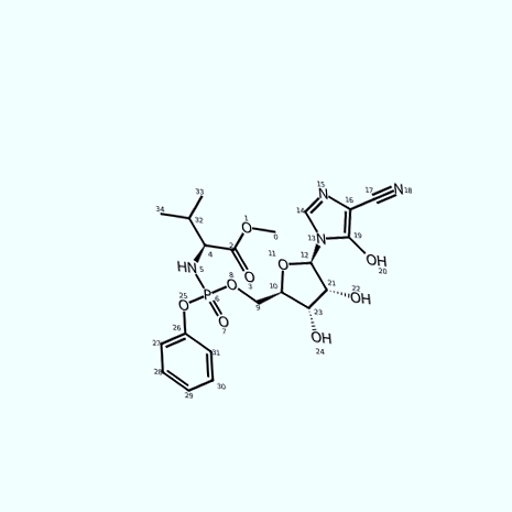 COC(=O)[C@@H](NP(=O)(OC[C@H]1O[C@@H](n2cnc(C#N)c2O)[C@H](O)[C@@H]1O)Oc1ccccc1)C(C)C